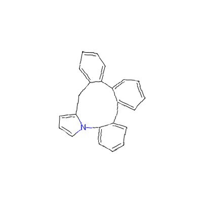 c1ccc2c(c1)Cc1cccn1-c1ccccc1-c1ccccc1-2